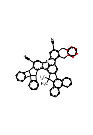 CC1(C)c2c(c3ccccc3c3ccccc23)-c2cc3c4c5c(c(C#N)cc4n4c6cc(C#N)c7c(c6c(c21)c34)C1c2ccccc2C12c1ccccc1C72)C1c2ccccc2C5c2ccccc21